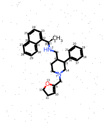 C[C@@H](NCC1CCN(CC2=CCCO2)CC1c1ccccc1)c1cccc2ccccc12